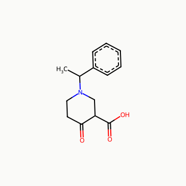 CC(c1ccccc1)N1CCC(=O)C(C(=O)O)C1